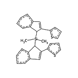 C[Si](C)(C1C(c2cccs2)=Cc2ccccc21)C1C(c2cccs2)=Cc2ccccc21